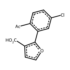 CC(=O)c1ccc(Cl)cc1-c1occc1C(=O)O